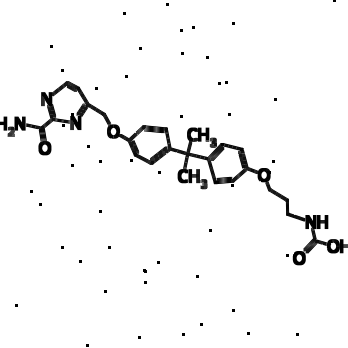 CC(C)(c1ccc(OCCCNC(=O)O)cc1)c1ccc(OCc2ccnc(C(N)=O)n2)cc1